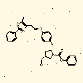 Cc1oc(-c2ccccc2)nc1CCOc1ccc(C[C@H]2C[C@@H](C=O)CN2C(=O)Oc2ccccc2)cc1